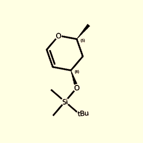 C[C@H]1C[C@@H](O[Si](C)(C)C(C)(C)C)C=CO1